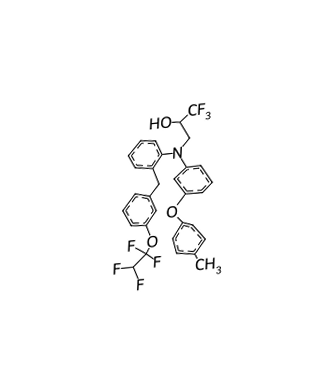 Cc1ccc(Oc2cccc(N(CC(O)C(F)(F)F)c3ccccc3Cc3cccc(OC(F)(F)C(F)F)c3)c2)cc1